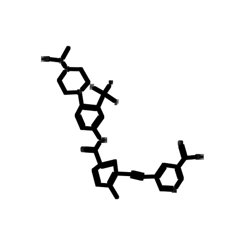 CB(O)N1CCN(c2ccc(NC(=O)c3ccc(C)c(C#Cc4cncc(C(=O)O)c4)c3)cc2C(F)(F)F)CC1